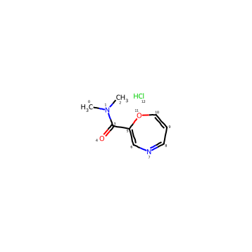 CN(C)C(=O)C1=CN=CC=CO1.Cl